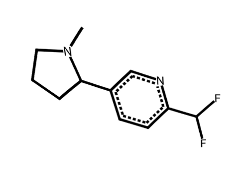 CN1CCCC1c1ccc(C(F)F)nc1